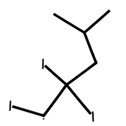 CC(C)CC(I)(I)[CH]I